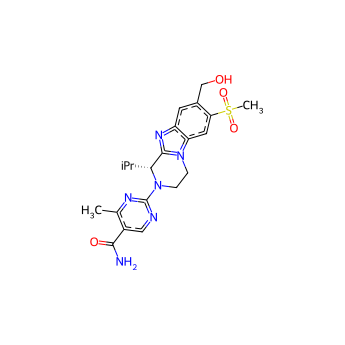 Cc1nc(N2CCn3c(nc4cc(CO)c(S(C)(=O)=O)cc43)[C@H]2C(C)C)ncc1C(N)=O